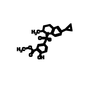 COC(=O)c1cc(S(=O)(=O)N2c3ccc(C4CC4)cc3CCC2C)ccc1O